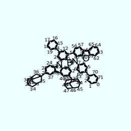 c1ccc(-c2ccc(N3B4c5c(cc(-c6ccccc6)cc5-n5c6ccc(C78CC9CC(CC(C9)C7)C8)cc6c6cc(C78CC9CC(CC(C9)C7)C8)cc4c65)-c4ccc5c(oc6ccccc65)c43)cc2)cc1